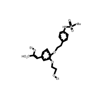 CCCCS(=O)(=O)Nc1ccc(CCOc2ccc(C=C(OCC)C(=O)O)cc2OCCOCC)cc1